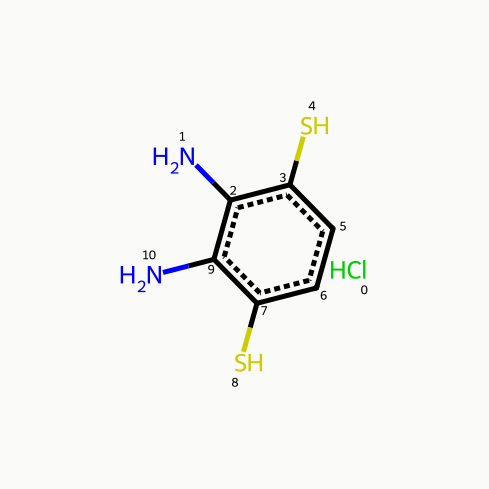 Cl.Nc1c(S)ccc(S)c1N